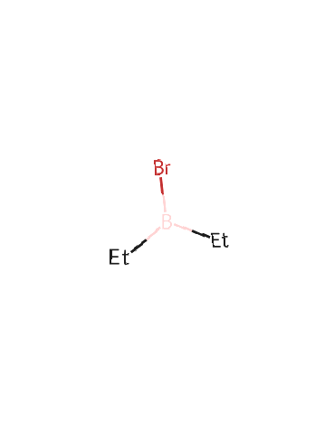 CCB(Br)CC